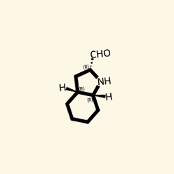 O=C[C@H]1C[C@H]2CCCC[C@H]2N1